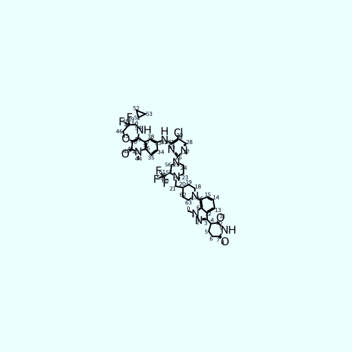 Cn1nc(C2CCC(=O)NC2=O)c2cccc(N3CCC(CN4CCN(c5ncc(Cl)c(Nc6ccc7c(c6)c6c(c(=O)n7C)OCC(F)(F)[C@H](C7CC7)N6)n5)C[C@@H]4C(F)(F)F)CC3)c21